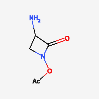 CC(=O)ON1CC(N)C1=O